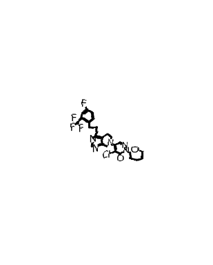 O=c1c(Cl)c(N2CCc3c(CCc4ccc(F)cc4C(F)(F)F)ncnc3C2)cnn1C1CCCCO1